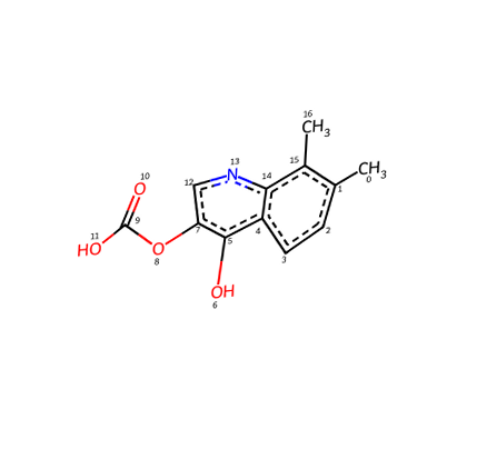 Cc1ccc2c(O)c(OC(=O)O)cnc2c1C